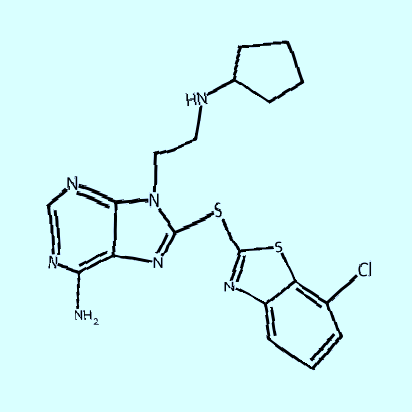 Nc1ncnc2c1nc(Sc1nc3cccc(Cl)c3s1)n2CCNC1CCCC1